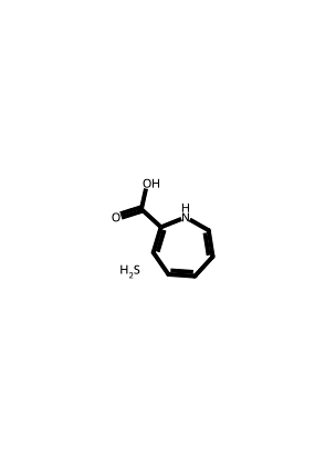 O=C(O)C1=CC=CC=CN1.S